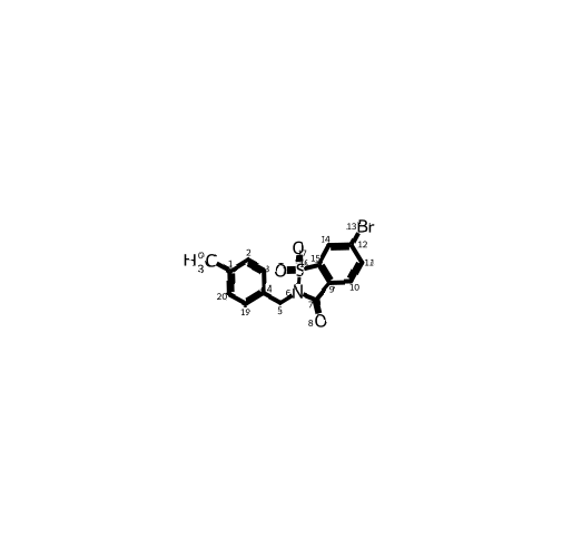 Cc1ccc(CN2C(=O)c3ccc(Br)cc3S2(=O)=O)cc1